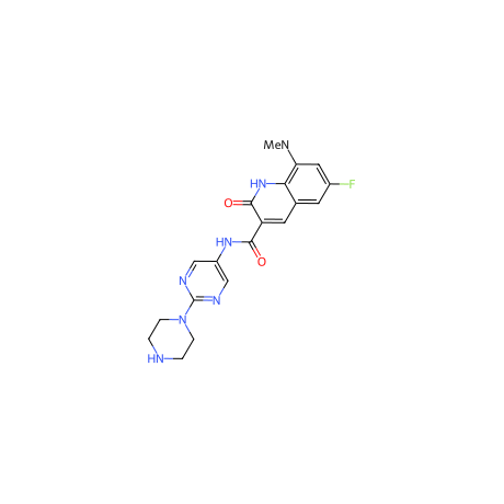 CNc1cc(F)cc2cc(C(=O)Nc3cnc(N4CCNCC4)nc3)c(=O)[nH]c12